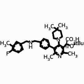 Cc1cc(CNCc2ccc(-c3c(C)nc(C)c([C@H](OC(C)(C)C)C(=O)O)c3N3CCC(C)(C)CC3)cc2)ccc1F